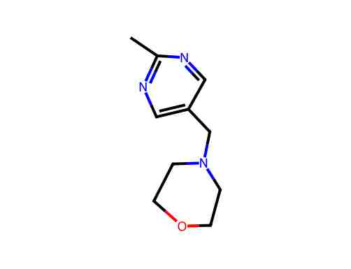 Cc1ncc(CN2CCOCC2)cn1